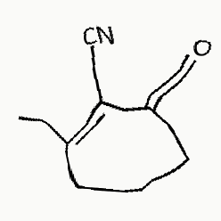 CC1=C(C#N)C(=O)CCC1